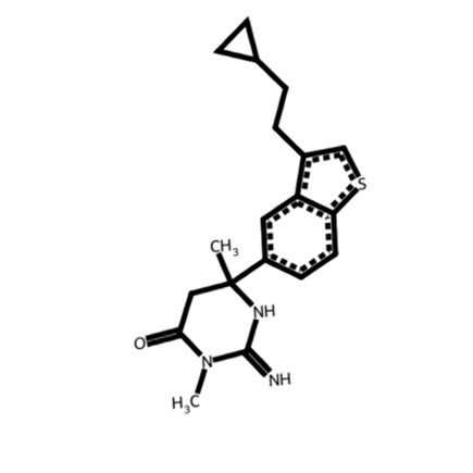 CN1C(=N)NC(C)(c2ccc3scc(CCC4CC4)c3c2)CC1=O